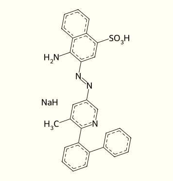 Cc1cc(/N=N/c2cc(S(=O)(=O)O)c3ccccc3c2N)cnc1-c1ccccc1-c1ccccc1.[NaH]